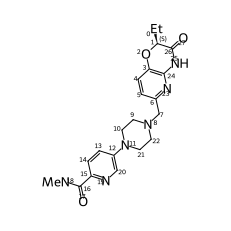 CC[C@@H]1Oc2ccc(CN3CCN(c4ccc(C(=O)NC)nc4)CC3)nc2NC1=O